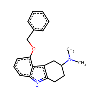 CN(C)C1CCc2[nH]c3cccc(OCc4ccccc4)c3c2C1